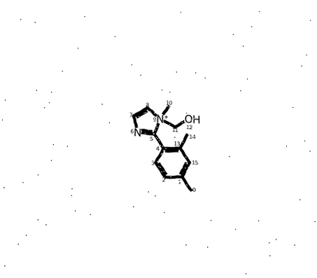 Cc1ccc(C2=NC=C[N+]2(C)CO)c(C)c1